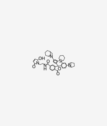 O=C(NCCN1C(=O)C=CC1O)c1ccc2c(c1)C1(OC2=O)c2ccc(N3CC4CCCC3C4)cc2[Si]2(CCCCC2)c2cc(N3C4CCC3CC4)ccc21